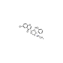 C/C=C/[C@@H]1CO[C@H](c2coc3ccc(Cl)cc3c2=O)O[C@@H]1c1ccccc1O